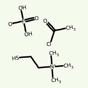 CC(=O)Cl.C[N+](C)(C)CCS.O=P([O-])(O)O